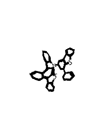 c1ccc(-c2cc(-n3c4ccccc4c4c5ccccc5c5c6ccccc6sc5c43)cc3c2sc2ccccc23)cc1